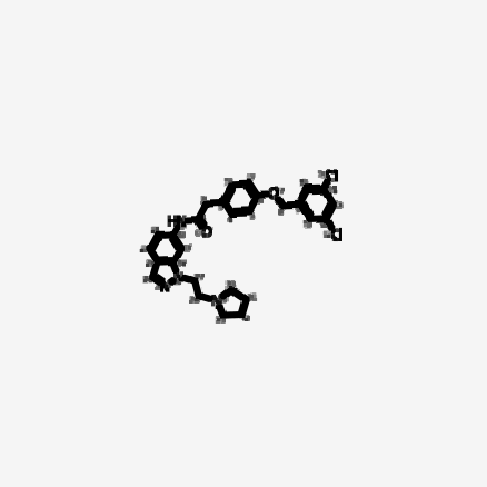 O=C(Cc1ccc(OCc2cc(Cl)cc(Cl)c2)cc1)Nc1ccc2cnn(CCN3CCCC3)c2c1